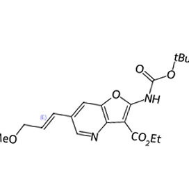 CCOC(=O)c1c(NC(=O)OC(C)(C)C)oc2cc(/C=C/COC)cnc12